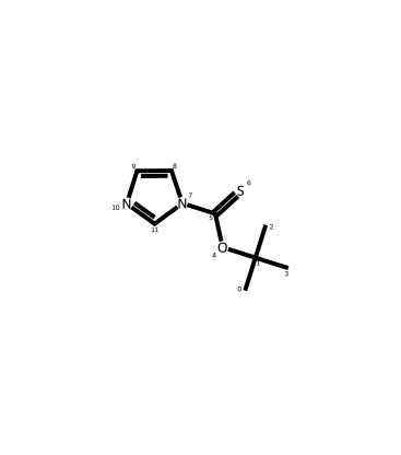 CC(C)(C)OC(=S)n1ccnc1